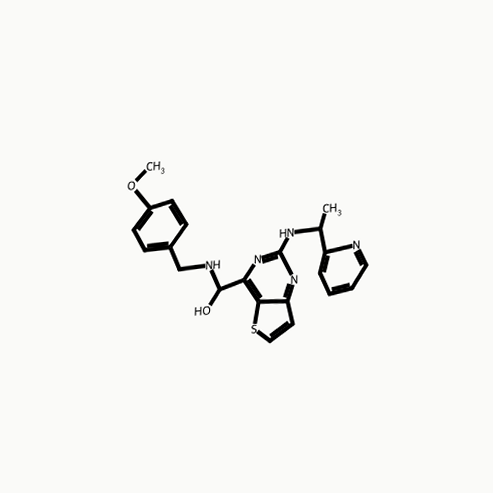 COc1ccc(CNC(O)c2nc(NC(C)c3ccccn3)nc3ccsc23)cc1